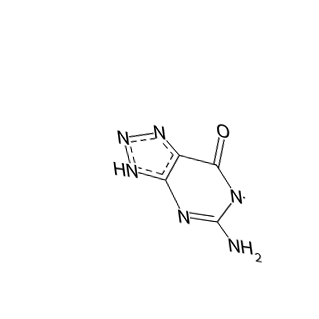 NC1=Nc2[nH]nnc2C(=O)[N]1